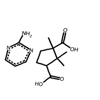 CC1(C(=O)O)CCC(C(=O)O)C1(C)C.Nc1ncccn1